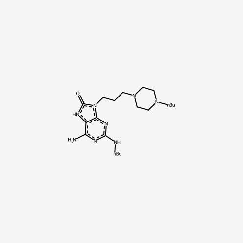 CCCCNc1nc(N)c2[nH]c(=O)n(CCCN3CCN(CCCC)CC3)c2n1